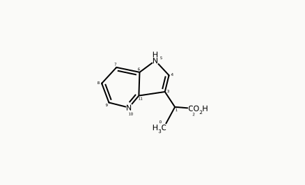 CC(C(=O)O)c1c[nH]c2cccnc12